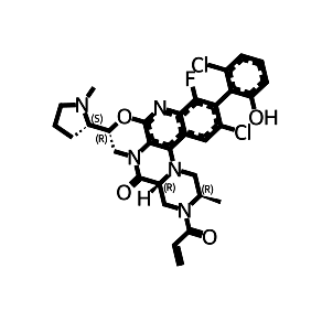 C=CC(=O)N1C[C@@H]2C(=O)N3C[C@H]([C@@H]4CCCN4C)Oc4nc5c(F)c(-c6c(O)cccc6Cl)c(Cl)cc5c(c43)N2C[C@H]1C